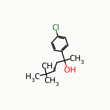 CC(C)(C)CCC(C)(O)c1ccc(Cl)cc1